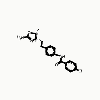 C[C@H]1OC(N)=N[C@H]1CCc1ccc(NC(=O)c2ccc(Cl)cc2)cc1